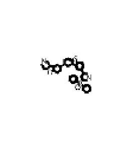 O=P(c1ccccc1)(c1ccccc1)c1cncc(-c2ccc3sc4ccc(-c5ccc6oc7ccncc7c6c5)cc4c3c2)c1